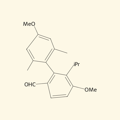 COc1cc(C)c(-c2c(C=O)ccc(OC)c2C(C)C)c(C)c1